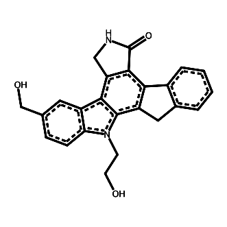 O=C1NCc2c1c1c(c3c2c2cc(CO)ccc2n3CCO)Cc2ccccc2-1